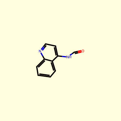 O=CNc1ccnc2ccccc12